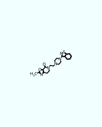 Cc1nc2c(o1)C(=O)N(CCN1CCN(c3nsc4ccccc34)CC1)CC2